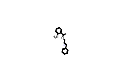 Nc1ccccc1C(=O)OC/C=C/c1ccccc1